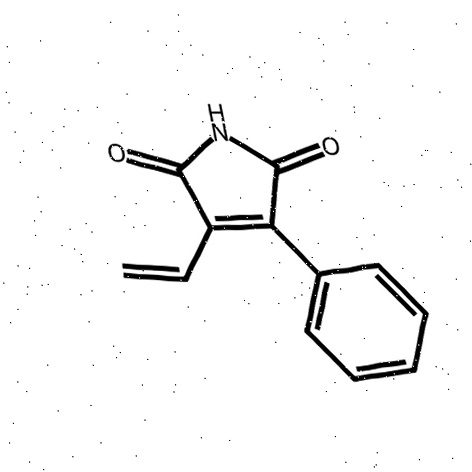 C=CC1=C(c2ccccc2)C(=O)NC1=O